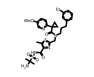 CCc1cccc(CCCN(Cc2nc(C(=O)NS(=O)(=O)C(C)(C)N)c(C)s2)C(=O)C2(c3ccc(OC)cn3)CC2)c1